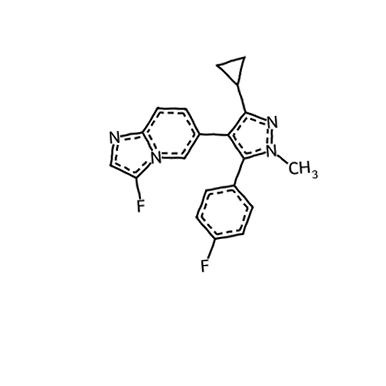 Cn1nc(C2CC2)c(-c2ccc3ncc(F)n3c2)c1-c1ccc(F)cc1